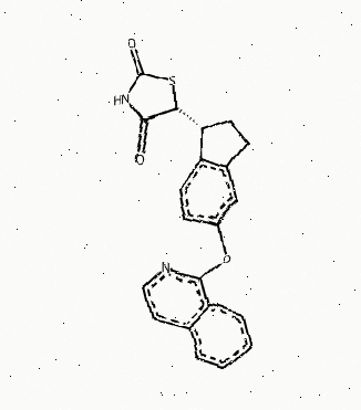 O=C1NC(=O)C([C@@H]2CCc3cc(Oc4nccc5ccccc45)ccc32)S1